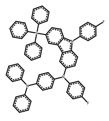 Fc1ccc(N(c2ccc(N(c3ccccc3)c3ccccc3)cc2)c2ccc3c(c2)c2cc([Si](c4ccccc4)(c4ccccc4)c4ccccc4)ccc2n3-c2ccc(F)cc2)cc1